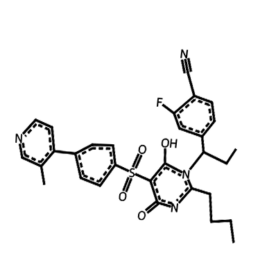 CCCCc1nc(=O)c(S(=O)(=O)c2ccc(-c3ccncc3C)cc2)c(O)n1C(CC)c1ccc(C#N)c(F)c1